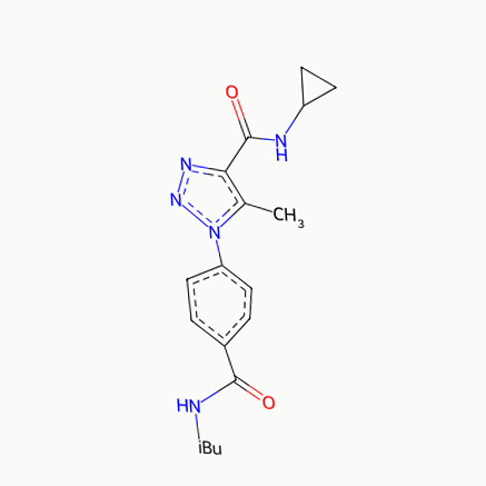 CCC(C)NC(=O)c1ccc(-n2nnc(C(=O)NC3CC3)c2C)cc1